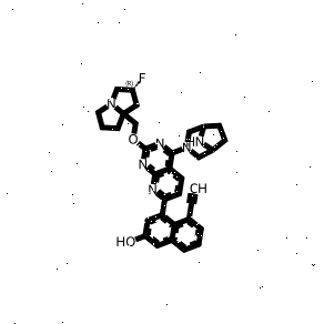 C#Cc1cccc2cc(O)cc(-c3ccc4c(N5CC6CCC(C5)N6)nc(OCC56CCCN5C[C@H](F)C6)nc4n3)c12